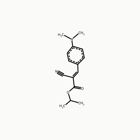 CC(C)OC(=O)/C(C#N)=C/c1ccc(N(C)C)cc1